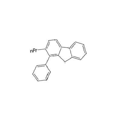 CCCc1ccc2c(c1-c1ccccc1)[CH]c1ccccc1-2